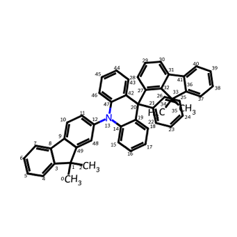 CC1(C)c2ccccc2-c2ccc(N3c4ccccc4C(c4ccccc4)(c4cccc5c4C(C)(C)c4ccccc4-5)c4ccccc43)cc21